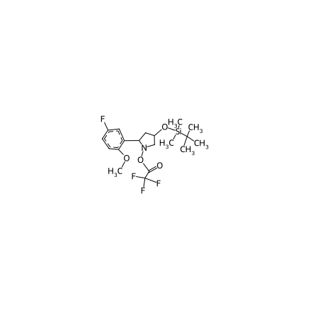 COc1ccc(F)cc1C1CC(O[Si](C)(C)C(C)(C)C)CN1OC(=O)C(F)(F)F